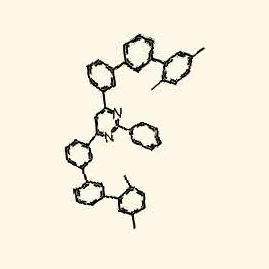 Cc1ccc(C)c(-c2cccc(-c3cccc(-c4cc(-c5cccc(-c6cccc(-c7cc(C)ccc7C)c6)c5)nc(-c5ccccc5)n4)c3)c2)c1